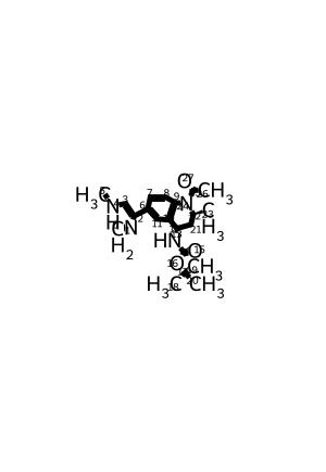 C=N/C(=C\NC)c1ccc2c(c1)[C@H](NC(=O)OC(C)(C)C)C[C@H](C)N2C(C)=O